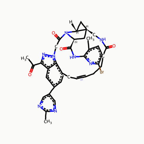 CC(=O)c1nn2c3c(cc(-c4cnc(C)nc4)cc13)C/C=C\CCCC(=O)NC[C@@]13C[C@@H](C(=O)Nc4nc(Br)ccc4C)N(C(=O)C2)[C@@H]1C3